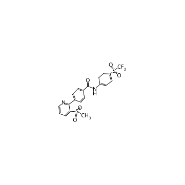 CS(=O)(=O)c1cccnc1-c1ccc(C(=O)NC2=CC=C(S(=O)(=O)C(F)(F)F)CC2)cc1